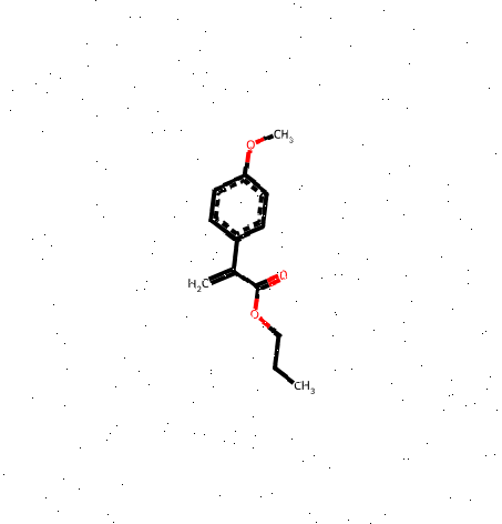 C=C(C(=O)OCCC)c1ccc(OC)cc1